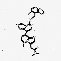 Cc1ccc(-c2cnc(NCc3c(F)ccc4c3CCO4)n3cnnc23)c2ncc(CC(=O)N(C)C)n12